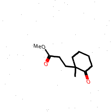 COC(=O)CCC1(C)CCCCC1=O